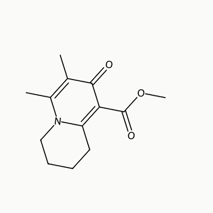 COC(=O)c1c2n(c(C)c(C)c1=O)CCCC2